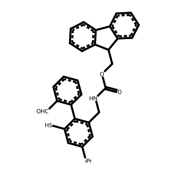 CC(C)c1cc(S)c(-c2ccccc2C=O)c(CNC(=O)OCC2c3ccccc3-c3ccccc32)c1